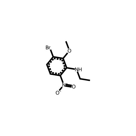 CCNc1c([N+](=O)[O-])ccc(Br)c1OC